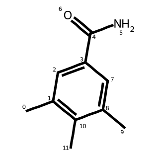 Cc1cc(C(N)=O)cc(C)c1C